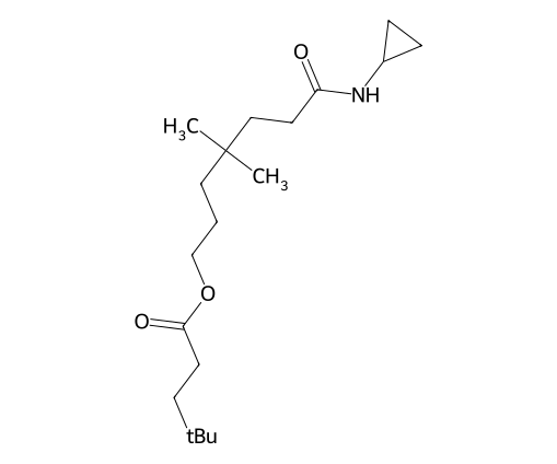 CC(C)(C)CCC(=O)OCCCC(C)(C)CCC(=O)NC1CC1